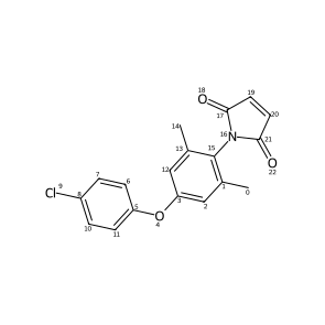 Cc1cc(Oc2ccc(Cl)cc2)cc(C)c1N1C(=O)C=CC1=O